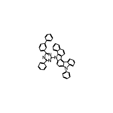 c1ccc(-c2cccc(-c3nc(-c4ccccc4)nc(-n4c5ccc6c(c7ccccc7n6-c6ccccc6)c5c5ccc6ccccc6c54)n3)c2)cc1